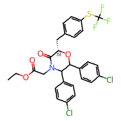 CCOC(=O)CN1C(=O)[C@H](Cc2ccc(SC(F)(F)F)cc2)OC(c2ccc(Cl)cc2)C1c1ccc(Cl)cc1